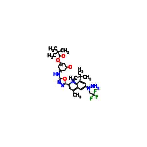 Cc1cc(-c2nnc(N[C@@H]3CC(=O)C[C@H](OC(=O)C(C)(C)C)C3)o2)nc2c(C(C)(C)C)cc(N(N)CC(F)(F)F)cc12